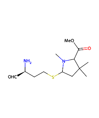 COC(=O)C1N(C)C(SCC[C@H](N)C=O)CC1(C)C